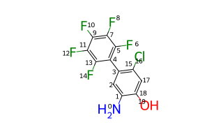 Nc1cc(-c2c(F)c(F)c(F)c(F)c2F)c(Cl)cc1O